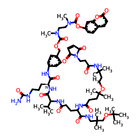 CC(C)C(NC(=O)CCC(NC(=O)CCC(C)(C)OCCC(C)(C)NC(=O)CCN1C(=O)C=CC1=O)C(=O)NCC(C)(C)COC(C)(C)C)C(=O)N[C@@H](CCCNC(N)=O)C(=O)Nc1ccc(COC(=O)N(C)CCN(C)C(=O)Oc2ccc3ccc(=O)oc3c2)cc1